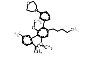 C=C(C)c1ccc(C)cc1-c1c(OC)cc(CCCCC)c(-c2cccc(N3CCOCC3)c2)c1OC